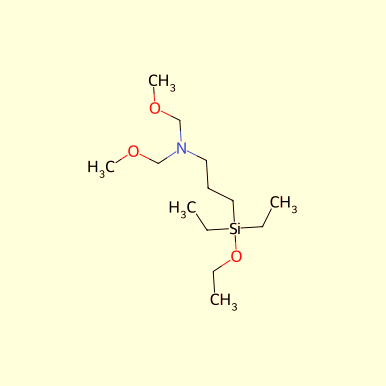 CCO[Si](CC)(CC)CCCN(COC)COC